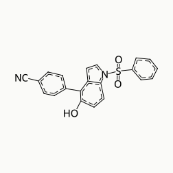 N#Cc1ccc(-c2c(O)ccc3c2ccn3S(=O)(=O)c2ccccc2)cc1